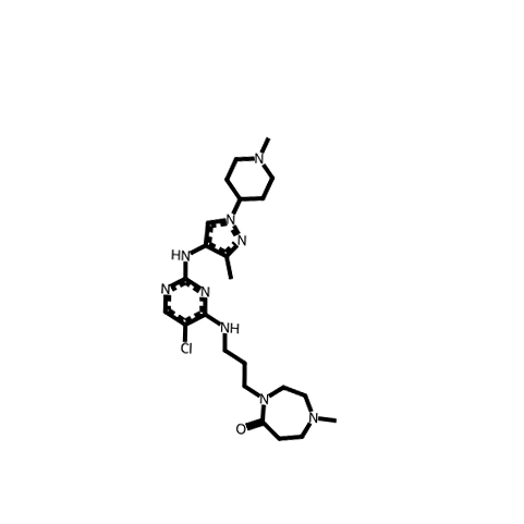 Cc1nn(C2CCN(C)CC2)cc1Nc1ncc(Cl)c(NCCCN2CCN(C)CCC2=O)n1